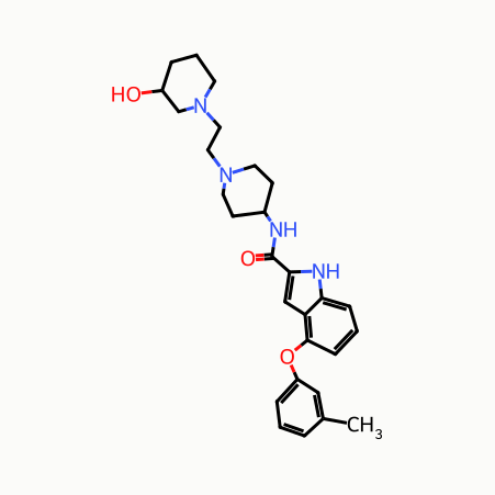 Cc1cccc(Oc2cccc3[nH]c(C(=O)NC4CCN(CCN5CCCC(O)C5)CC4)cc23)c1